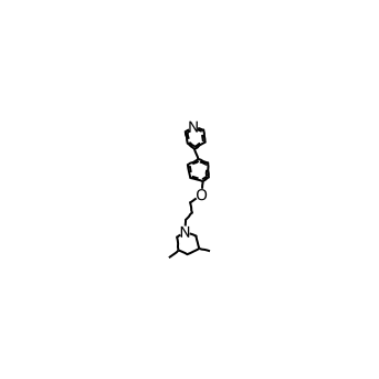 CC1CC(C)CN(CCCOc2ccc(-c3ccncc3)cc2)C1